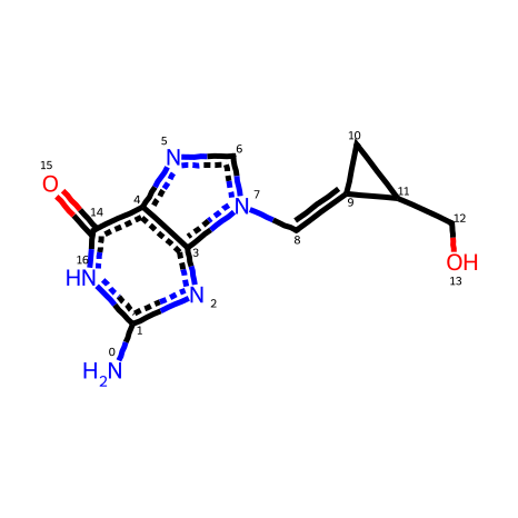 Nc1nc2c(ncn2/C=C2\CC2CO)c(=O)[nH]1